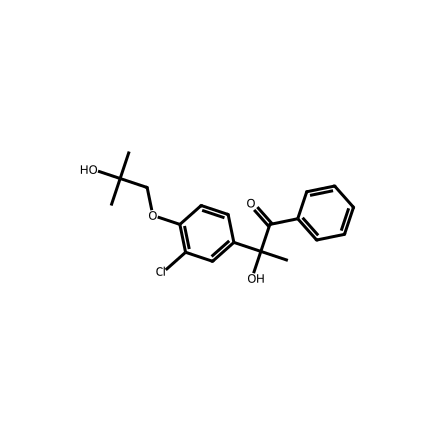 CC(C)(O)COc1ccc(C(C)(O)C(=O)c2ccccc2)cc1Cl